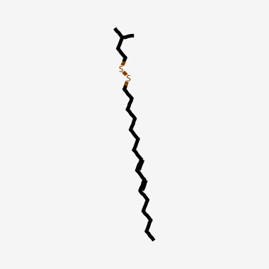 CCCCC/C=C/C=C/CCCCCCCSSCCC(C)C